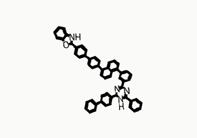 c1ccc(C2=NC(c3cccc(-c4cccc5c(-c6ccc(-c7ccc(C8Nc9ccccc9O8)cc7)cc6)cccc45)c3)=NC(c3ccc(-c4ccccc4)cc3)N2)cc1